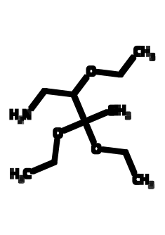 CCOC(CN)C([SiH3])(OCC)OCC